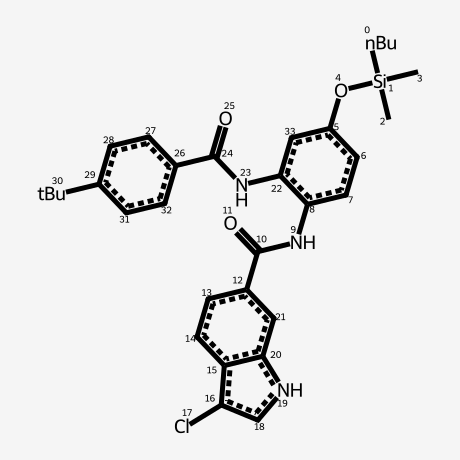 CCCC[Si](C)(C)Oc1ccc(NC(=O)c2ccc3c(Cl)c[nH]c3c2)c(NC(=O)c2ccc(C(C)(C)C)cc2)c1